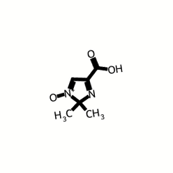 CC1(C)N=C(C(=O)O)C=[N+]1[O-]